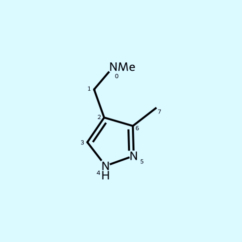 CNCc1c[nH]nc1C